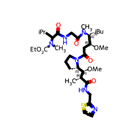 CCOC(=O)N(C)C(C(=O)NCC(=O)N(C)[C@@H]([C@@H](C)CC)[C@@H](CC(=O)N1CCC[C@H]1[C@H](OC)[C@@H](C)C(=O)NCc1nccs1)OC)C(C)C